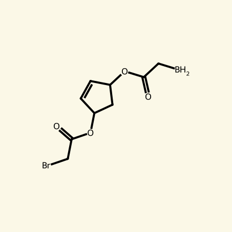 BCC(=O)OC1C=CC(OC(=O)CBr)C1